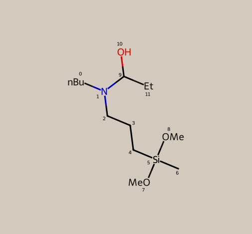 CCCCN(CCC[Si](C)(OC)OC)C(O)CC